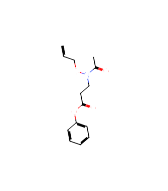 C=CCON(CCC(=O)Oc1ccccc1)C(C)=O